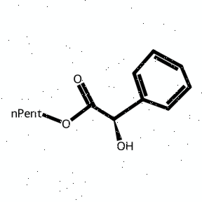 CCCCCOC(=O)[C@H](O)c1ccccc1